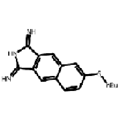 CCCCSc1ccc2cc3c(cc2c1)C(=N)NC3=N